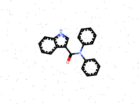 O=C(c1c[nH]c2ccccc12)N(c1ccccc1)c1ccccc1